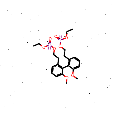 CCO[PH](=O)OCCc1cccc(OC)c1-c1c(CCO[PH](=O)OCC)cccc1OC